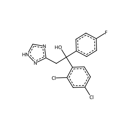 OC(Cc1nc[nH]n1)(c1ccc(F)cc1)c1ccc(Cl)cc1Cl